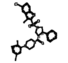 Cc1ccc(C)c(N2CCN(C(=O)[C@@H]3CN(S(=O)(=O)c4sc5ccc(Cl)cc5c4C)C[C@H]3c3ccccc3)CC2)c1